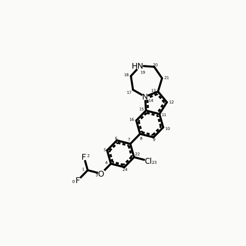 FC(F)Oc1ccc(-c2ccc3cc4n(c3c2)CCNCC4)c(Cl)c1